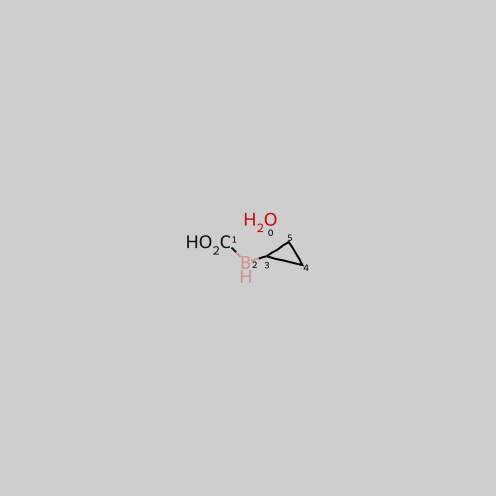 O.O=C(O)BC1CC1